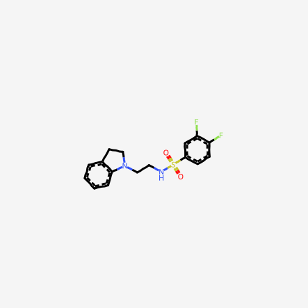 O=S(=O)(NCCN1CCc2ccccc21)c1ccc(F)c(F)c1